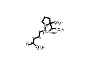 CCCCCC(C(=O)O)C1(C(=O)O)CCCN1NCCCC(CC)C(=O)O